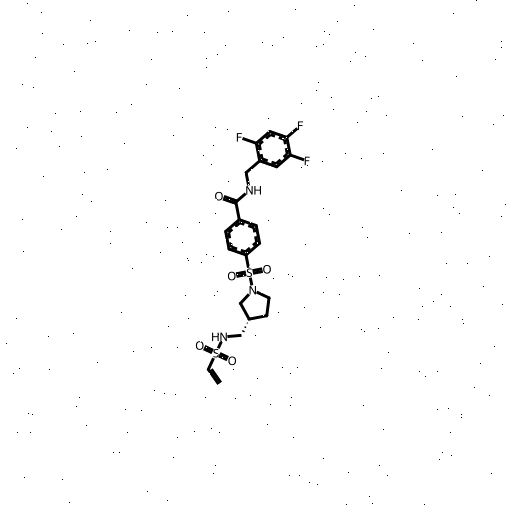 C=CS(=O)(=O)NC[C@H]1CCN(S(=O)(=O)c2ccc(C(=O)NCc3cc(F)c(F)cc3F)cc2)C1